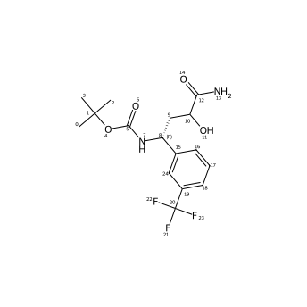 CC(C)(C)OC(=O)N[C@H](CC(O)C(N)=O)c1cccc(C(F)(F)F)c1